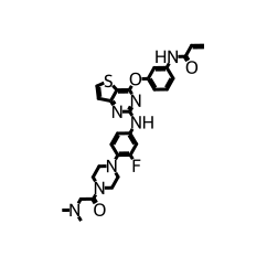 C=CC(=O)Nc1cccc(Oc2nc(Nc3ccc(N4CCN(C(=O)CN(C)C)CC4)c(F)c3)nc3ccsc23)c1